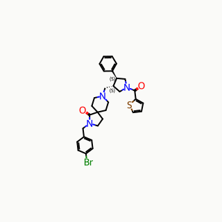 O=C(c1cccs1)N1C[C@H](CN2CCC3(CC2)CCN(Cc2ccc(Br)cc2)C3=O)[C@@H](c2ccccc2)C1